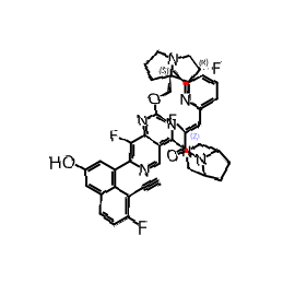 C#Cc1c(F)ccc2cc(O)cc(-c3ncc4c(N5CC6CCC(C5)N6C(=O)/C(F)=C/c5cccc(C)n5)nc(OC[C@@]56CCCN5C[C@H](F)C6)nc4c3F)c12